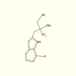 CC(C)CC(O)(Cc1cc2cccc(F)c2[nH]1)C(F)(F)F